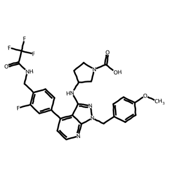 COc1ccc(Cn2nc(NC3CCN(C(=O)O)C3)c3c(-c4ccc(CNC(=O)C(F)(F)F)c(F)c4)ccnc32)cc1